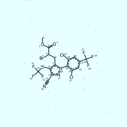 COC(=O)C(Br)Cc1c(SC(F)(F)F)c(C#N)nn1-c1c(Cl)cc(C(F)(F)F)cc1Cl